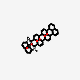 Cn1c(-c2ccc(-c3ccc(-c4cccc5cccc(-c6ccc(-c7ccc(-c8nc9ccccc9n8C)cc7)cc6)c45)cc3)cc2)nc2ccccc21